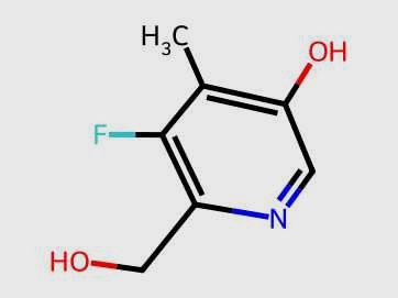 Cc1c(O)cnc(CO)c1F